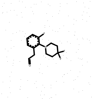 O=CCc1cccc(F)c1N1CCC(F)(F)CC1